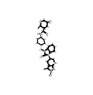 CCn1nc2ncc(-n3c(=O)n(C[C@H]4CC[C@H](NC(=O)c5cc(Cl)cnc5C)CC4)c4ccccc43)cc2c1C